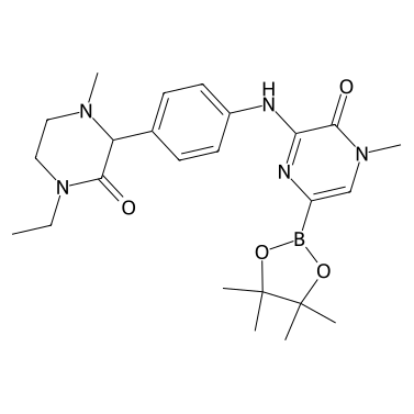 CCN1CCN(C)C(c2ccc(Nc3nc(B4OC(C)(C)C(C)(C)O4)cn(C)c3=O)cc2)C1=O